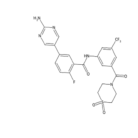 Nc1ncc(-c2ccc(F)c(C(=O)Nc3cc(C(=O)N4CCS(=O)(=O)CC4)cc(C(F)(F)F)c3)c2)cn1